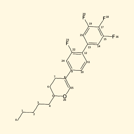 CCCCCC1CCC(c2ccc(-c3cc(F)c(F)c(F)c3)c(F)c2)=CO1